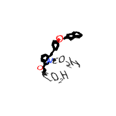 O=C(O)CCC(=O)c1cn(CC(=O)O)c2c(C=Cc3ccc(OCC4Cc5ccccc5C4)cc3)cccc12